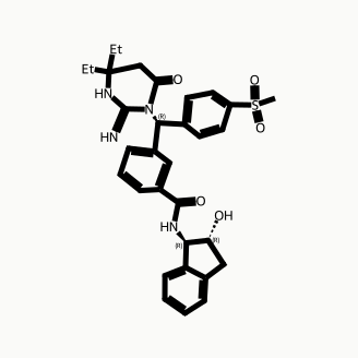 CCC1(CC)CC(=O)N([C@H](c2ccc(S(C)(=O)=O)cc2)c2cccc(C(=O)N[C@@H]3c4ccccc4C[C@H]3O)c2)C(=N)N1